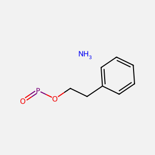 N.O=POCCc1ccccc1